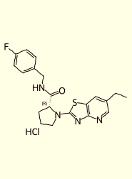 CCc1cnc2nc(N3CCC[C@@H]3C(=O)NCc3ccc(F)cc3)sc2c1.Cl